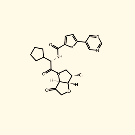 O=C(N[C@H](C(=O)N1C[C@H](Cl)[C@H]2OCC(=O)[C@H]21)C1CCCC1)c1ccc(-c2cncnc2)s1